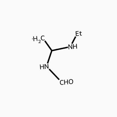 [CH2]C(NC=O)NCC